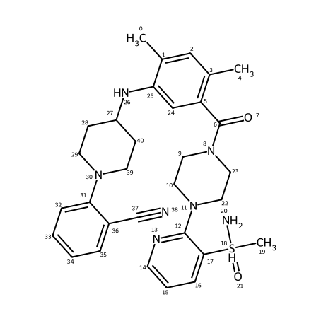 Cc1cc(C)c(C(=O)N2CCN(c3ncccc3[SH](C)(N)=O)CC2)cc1NC1CCN(c2ccccc2C#N)CC1